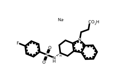 O=C(O)CCn1c2c(c3ccccc31)C[C@H](NS(=O)(=O)c1ccc(F)cc1)CC2.[Na]